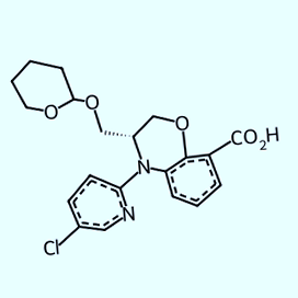 O=C(O)c1cccc2c1OC[C@@H](COC1CCCCO1)N2c1ccc(Cl)cn1